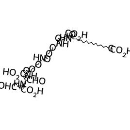 O=CCC[C@H](NCC(C=O)C[C@H](NC(=O)COCCOCCNC(=O)COCCOCCNC(=O)CC[C@H](NC(=O)CCCCCCCCCCCCCCCCC(=O)O)C(=O)O)C(=O)O)C(=O)O